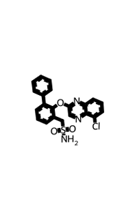 NS(=O)(=O)Cc1cccc(-c2ccccc2)c1Oc1cnc2c(Cl)cccc2n1